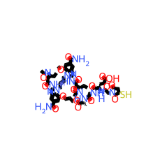 CCc1nc(C)oc1C(=O)Nc1nc2cc(C(N)=O)cc(OC)c2n1C/C=C/Cn1c(NC(=O)c2oc(C)nc2CC)nc2cc(C(N)=O)cc(OCCCOC(=O)[C@@H](C)NC(=O)CNC(=O)[C@@H](CCC(=O)O)NC(=O)CN3C(=O)CC(S)C3=O)c21